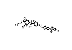 CC(C)(c1ccc(OCC2CC3(C2)CN(S(C)(=O)=O)C3)cc1)c1cc(Cl)c(OCCCl)c(C#N)c1